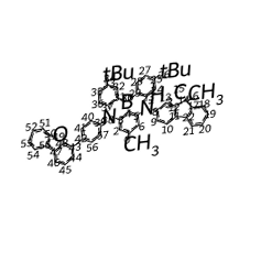 Cc1cc2c3c(c1)N(c1ccc4c(c1)C(C)(C)c1ccccc1-4)c1cc(C(C)(C)C)ccc1B3c1cc(C(C)(C)C)ccc1N2c1ccc(-c2cccc3c2oc2ccccc23)cc1